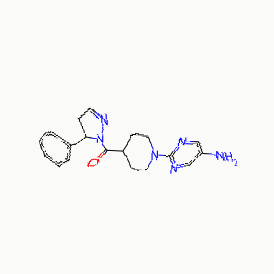 Nc1cnc(N2CCC(C(=O)N3N=CCC3c3ccccc3)CC2)nc1